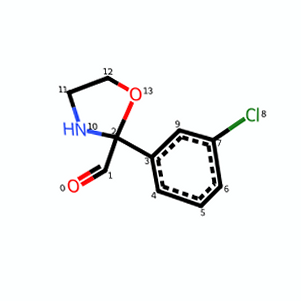 O=CC1(c2cccc(Cl)c2)NCCO1